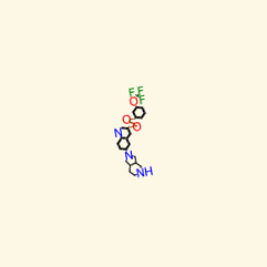 O=S(=O)(c1cccc(OC(F)(F)F)c1)c1cnc2ccc(N3CC4CCNCC4C3)cc2c1